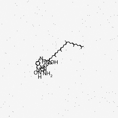 CC(C)=CCC/C(C)=C/CC/C(C)=C/CC/C=C(\C)CC/C=C(\C)CC/C=C(\C)CCCN(C)Cc1ccc(Cn2c(=O)[nH]c3c(N)nc(OCC(O)CO)nc32)cc1